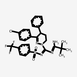 CC(C)(C)/C(N)=N/C(=N/S(=O)(=O)c1ccc(C(F)(F)F)cc1)N1CCC(c2ccccc2)C(c2ccc(Cl)cc2)=N1